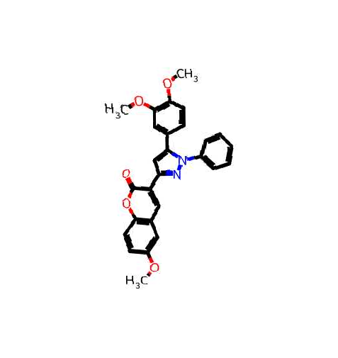 COc1ccc2oc(=O)c(-c3cc(-c4ccc(OC)c(OC)c4)n(-c4ccccc4)n3)cc2c1